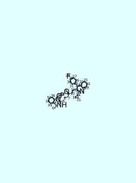 C[C@H](NC(=O)C[C@@H](CC(=O)/C=C/c1c(C2CC2)nc2ccccc2c1-c1ccc(F)cc1)P=O)c1ccccc1